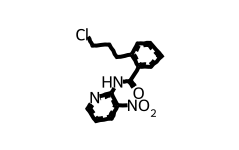 O=C(Nc1ncccc1[N+](=O)[O-])c1ccccc1CCCCl